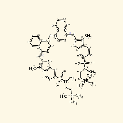 CN(CC[N+](C)(C)C)S(=O)(=O)c1ccc2c(c1)sc(/C=C1\C=CN(CN3C=C/C(=C\c4sc5cc(S(=O)(=O)N(C)CC[N+](C)(C)C)ccc5[n+]4C)c4ccccc43)c3ccccc31)[n+]2C